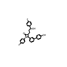 O=C1C(CC[C@H](O)c2ccc(F)cc2)C(c2cccc(-c3ccc(O)cc3)c2)N1c1ccc(F)cc1